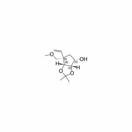 C=C[C@@]1(COC)C[C@H](O)[C@@H]2OC(C)(C)O[C@@H]21